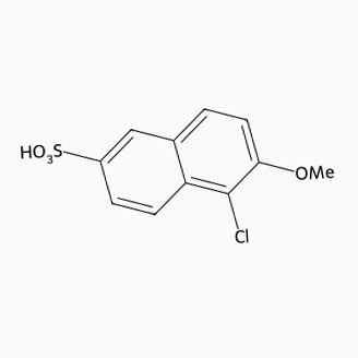 COc1ccc2cc(S(=O)(=O)O)ccc2c1Cl